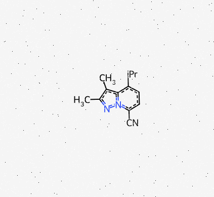 Cc1nn2c(C#N)ccc(C(C)C)c2c1C